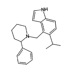 CC(C)c1ccc2[nH]ccc2c1CN1CCCCC1c1ccccc1